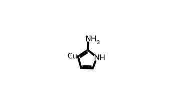 Nc1ccc[nH]1.[Cu]